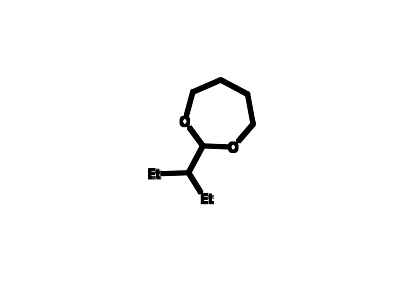 CCC(CC)C1OCCCCO1